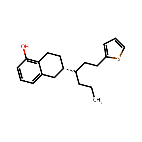 CCCC(CCc1cccs1)[C@H]1CCc2c(O)cccc2C1